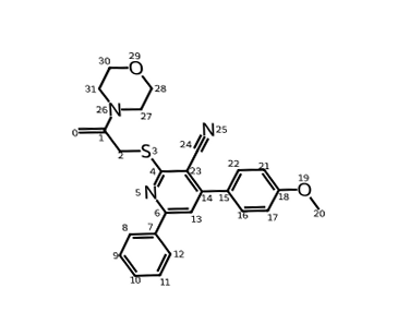 C=C(CSc1nc(-c2ccccc2)cc(-c2ccc(OC)cc2)c1C#N)N1CCOCC1